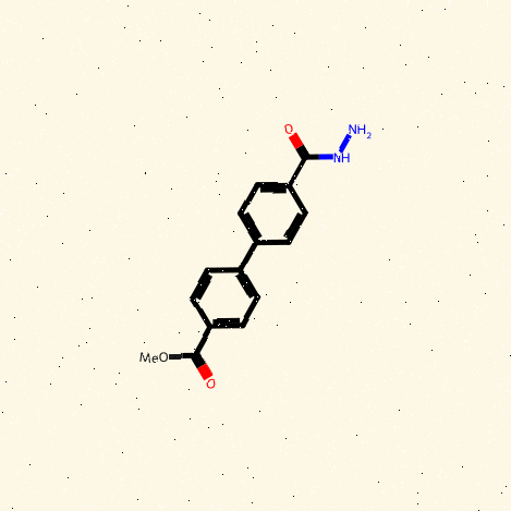 COC(=O)c1ccc(-c2ccc(C(=O)NN)cc2)cc1